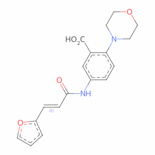 O=C(/C=C/c1ccco1)Nc1ccc(N2CCOCC2)c(C(=O)O)c1